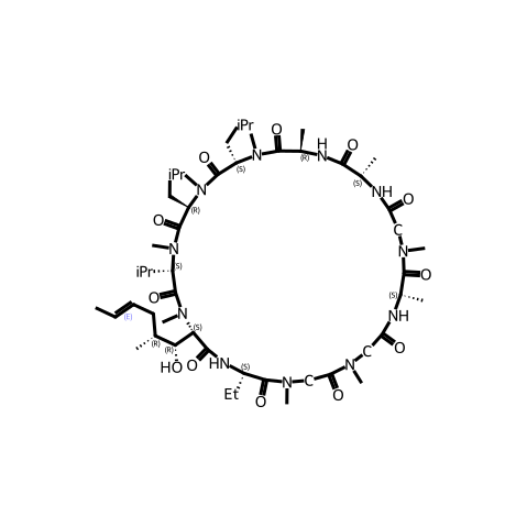 C/C=C/C[C@@H](C)[C@@H](O)[C@H]1C(=O)N[C@@H](CC)C(=O)N(C)CC(=O)N(C)CC(=O)N[C@@H](C)C(=O)N(C)CC(=O)N[C@@H](C)C(=O)N[C@H](C)C(=O)N(C)[C@@H](CC(C)C)C(=O)N(C)[C@H](CC(C)C)C(=O)N(C)[C@@H](C(C)C)C(=O)N1C